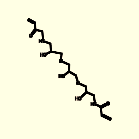 C=CC(=O)CNCC(O)COCC(O)COCC(O)CNC(=O)C=C